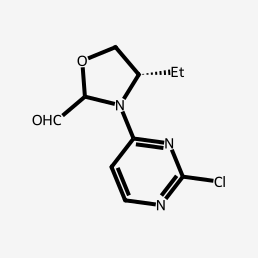 CC[C@H]1COC(C=O)N1c1ccnc(Cl)n1